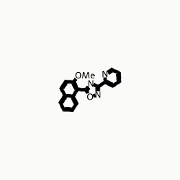 COc1ccc2ccccc2c1-c1nc(-c2ccccn2)no1